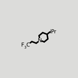 CC(C)C1CCN(CCC(F)(F)F)CC1